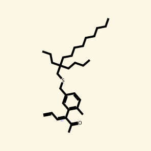 C=C/C=C(/C(C)=O)c1cc(CSCC(CCC)(CCCC)CCCCCCCCC)ccc1C